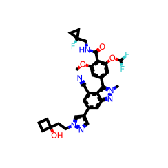 COc1cc(-c2c3c(C#N)cc(-c4cnn(CCC5(O)CCC5)c4)cc3nn2C)cc(OC(F)F)c1C(=O)NCC1(F)CC1